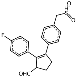 O=CC1CCC(c2ccc(C[SH](=O)=O)cc2)=C1c1ccc(F)cc1